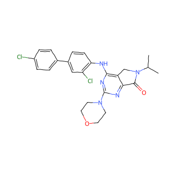 CC(C)N1Cc2c(Nc3ccc(-c4ccc(Cl)cc4)cc3Cl)nc(N3CCOCC3)nc2C1=O